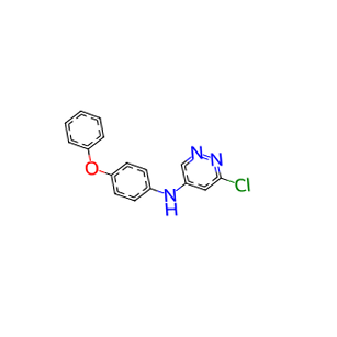 Clc1cc(Nc2ccc(Oc3ccccc3)cc2)cnn1